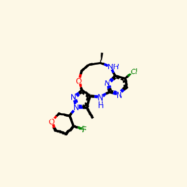 Cc1c2c(nn1C1COCCC1F)OCC[C@@H](C)Nc1nc(ncc1Cl)N2